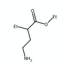 CCOC(=O)C(CC)CCN